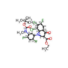 CCOC(=O)c1cn(-c2cc(N(C)C(=O)OC(C)(C)C)c(F)cc2F)c2c(Cl)c(F)c(F)cc2c1=O